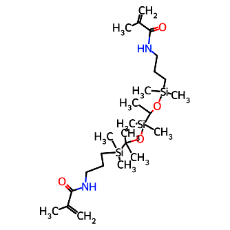 C=C(C)C(=O)NCCC[Si](C)(C)OC(C)[Si](C)(C)OC(C)(C)[Si](C)(C)CCCNC(=O)C(=C)C